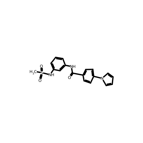 CS(=O)(=O)Nc1cccc(NC(=O)c2ccc(-n3cccc3)cc2)c1